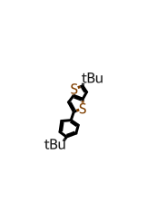 CC(C)(C)c1ccc(-c2cc3sc(C(C)(C)C)cc3s2)cc1